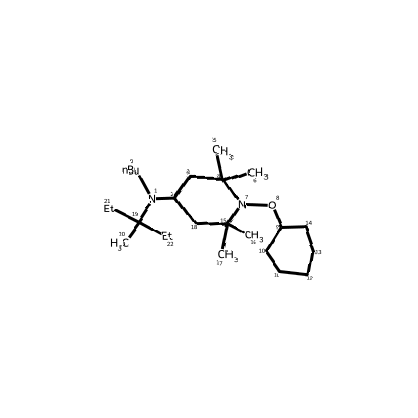 CCCCN(C1CC(C)(C)N(OC2CCCCC2)C(C)(C)C1)C(C)(CC)CC